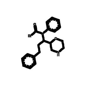 CCC(=O)N(c1ccccc1)C(CCc1ccccc1)C1CNCCO1